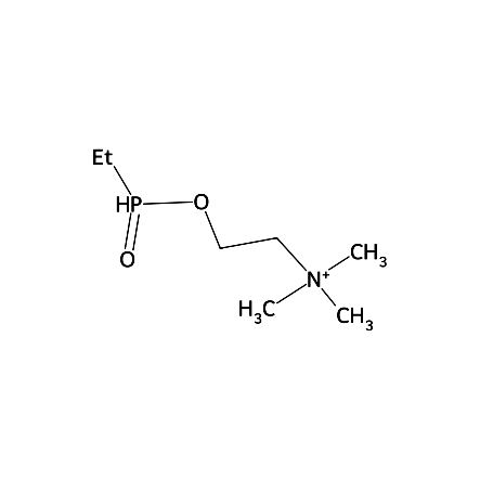 CC[PH](=O)OCC[N+](C)(C)C